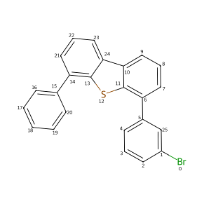 Brc1cccc(-c2cccc3c2sc2c(-c4ccccc4)cccc23)c1